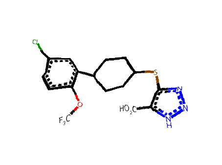 O=C(O)c1[nH]nnc1SC1CCC(c2cc(Cl)ccc2OC(F)(F)F)CC1